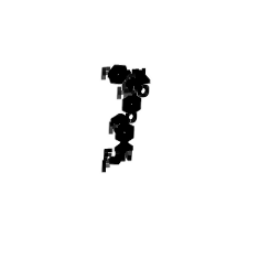 O=C(Nc1ccc(F)cc1)C1(C(=O)Nc2ccc(Oc3ccnc4cc(-c5cnn(CC(F)F)c5)ccc34)cc2)CC1